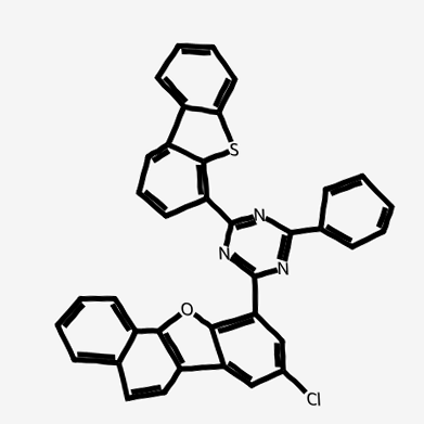 Clc1cc(-c2nc(-c3ccccc3)nc(-c3cccc4c3sc3ccccc34)n2)c2oc3c4ccccc4ccc3c2c1